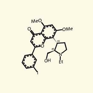 CCN1CC[C@@H](c2c(OC)cc(OC)c3c(=O)cc(-c4cccc(I)c4)oc23)[C@@H]1CO